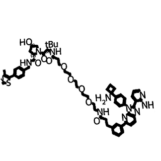 Cc1ncsc1-c1ccc(CNC(=O)[C@@H]2C[C@@H](O)CN2C(=O)[C@@H](NC(=O)CCOCCOCCOCCOCCNC(=O)CCc2cccc(-c3ccc4nc(-c5cccnc5N)n(-c5ccc(C6(N)CCC6)cc5)c4n3)c2)C(C)(C)C)cc1